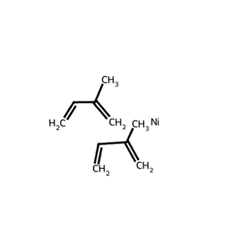 C=CC(=C)C.C=CC(=C)C.[Ni]